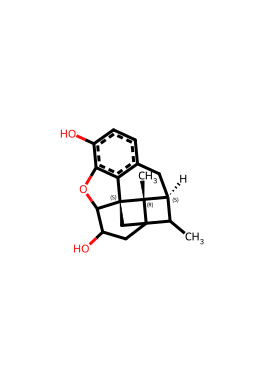 CC1[C@@H]2Cc3ccc(O)c4c3[C@@]35CC1(CC(O)C3O4)[C@@]25C